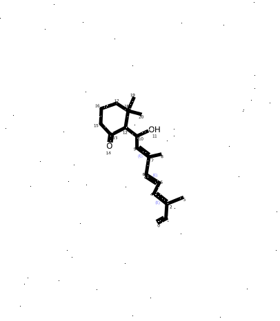 C=C/C(C)=C/C=C/C(C)=C/C(O)C1C(=O)CCCC1(C)C